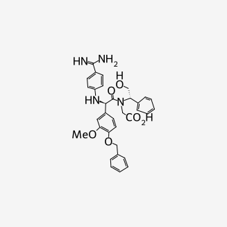 COc1cc([C@@H](Nc2ccc(C(=N)N)cc2)C(=O)N(CC(=O)O)[C@H](CO)c2ccccc2)ccc1OCc1ccccc1